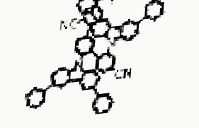 N#Cc1ccc(-c2cc(-c3ccc(C(F)(F)F)cc3C#N)ccc2-n2c3ccc(-c4ccccc4)cc3c3cc(-c4ccccc4)ccc32)c(-n2c3ccc(-c4ccccc4)cc3c3cc(-c4ccccc4)ccc32)c1